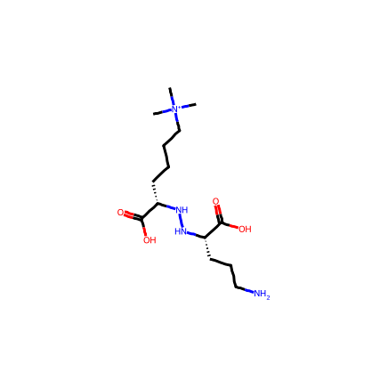 C[N+](C)(C)CCCC[C@H](NN[C@@H](CCCN)C(=O)O)C(=O)O